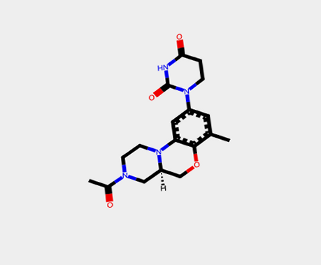 CC(=O)N1CCN2c3cc(N4CCC(=O)NC4=O)cc(C)c3OC[C@H]2C1